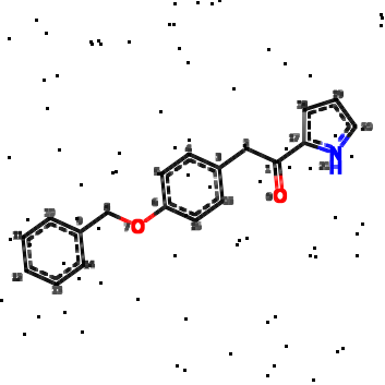 O=C(Cc1ccc(OCc2ccccc2)cc1)c1ccc[nH]1